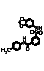 Cc1ccc(NC(=O)c2cccc(S(=O)(=O)Nc3ccc4c(c3)OCO4)c2)cc1